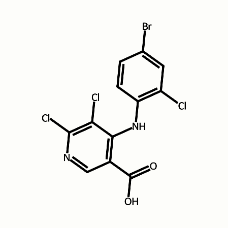 O=C(O)c1cnc(Cl)c(Cl)c1Nc1ccc(Br)cc1Cl